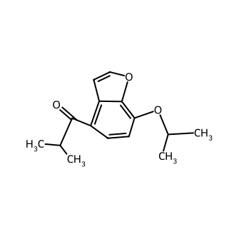 CC(C)Oc1ccc(C(=O)C(C)C)c2ccoc12